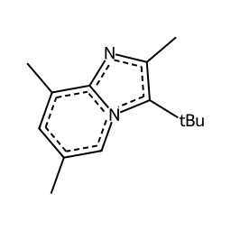 Cc1cc(C)c2nc(C)c(C(C)(C)C)n2c1